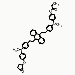 C=CC(=O)Oc1ccc(N(C)c2ccc(CCc3c4ccccc4c(CCc4ccc(N(C)c5ccc(OC6CCC7OC67)cc5)cc4)c4ccccc34)cc2)cc1